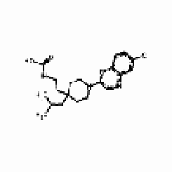 CC(C)CC1(CCNC(=O)O)CCN(c2cnc3cc(Cl)ccc3n2)CC1